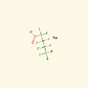 O=S([O-])C(F)(F)C(F)(F)C(F)(F)C(F)(F)F.[Na+]